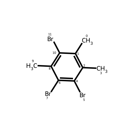 Cc1c(C)c(Br)c(Br)c(C)c1Br